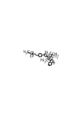 CCOC(=O)CCc1ccc([C@@H]2CC[C@H](N(C(=O)OC(C)(C)C)[C@H](C)c3ccc(F)c4ccccc34)C2)cc1